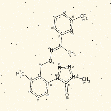 CC(=NOCc1c(C)cccc1-n1nnn(C)c1=O)c1cccc(C(F)(F)F)n1